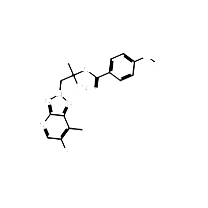 Cc1c(Br)cnc2nn(CC(C)(C#N)NC(=O)c3ccc(OC(F)(F)F)cc3)nc12